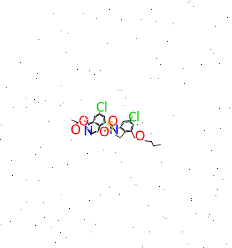 CCCCOCc1cc(Cl)cc2c1CCN2S(=O)(=O)c1cc(Cl)cc2c(OC(C)=O)nccc12